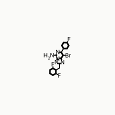 Nc1nc(-c2ccc(F)cc2)c(Br)c2nc(Cc3c(F)cccc3F)nn12